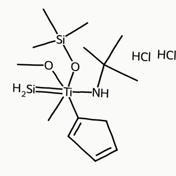 C[O][Ti]([CH3])(=[SiH2])([NH]C(C)(C)C)([O][Si](C)(C)C)[C]1=CC=CC1.Cl.Cl